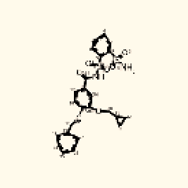 NS(=O)(=O)c1ccccc1S(=O)(=O)NC(=O)c1ccc(OCc2ccccc2)c(OCC2CC2)c1